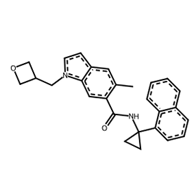 Cc1cc2ccn(CC3COC3)c2cc1C(=O)NC1(c2cccc3ccccc23)CC1